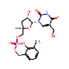 Cc1cccc2c1OP(=O)(OC[C@]1(F)C[C@@H](O)[C@H](n3cc(CO)c(=O)[nH]c3=O)O1)OC2